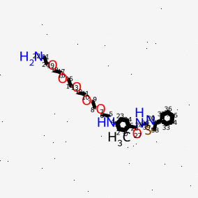 Cc1cc(NCCOCCOCCOCCOCCOCCN)ccc1C(=O)NC1=NC(c2ccccc2)CS1